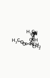 CCCCOCCOc1ccc(-c2ccc3c(c2)C=C(C(=O)Nc2ccc([S+]([O-])Cc4nncc(C)n4)cc2)CCN3CC(C)C)cc1